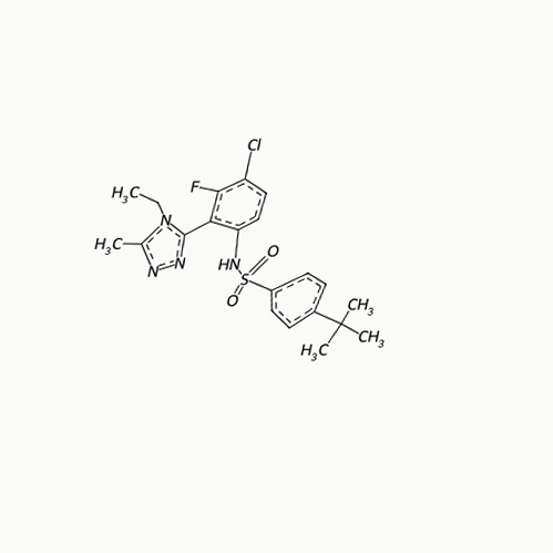 CCn1c(C)nnc1-c1c(NS(=O)(=O)c2ccc(C(C)(C)C)cc2)ccc(Cl)c1F